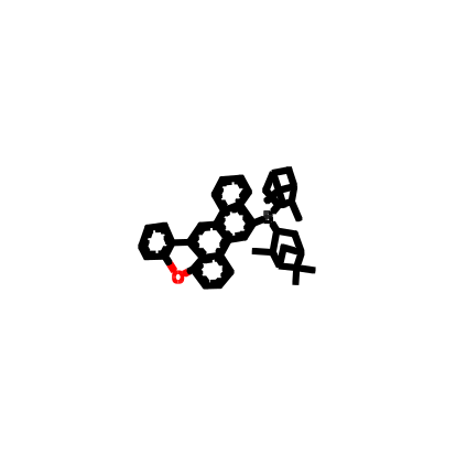 CC1C(B(c2cc3c4cccc5c4c(cc3c3ccccc23)-c2ccccc2O5)C2CC3CC(C2C)C3(C)C)CC2CC1C2(C)C